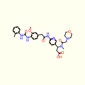 COc1cc(CC(=O)Nc2ccc(C(CC(=O)O)N(C)C(=O)CN3CCOCC3)cn2)ccc1NC(=O)Nc1ccccc1C